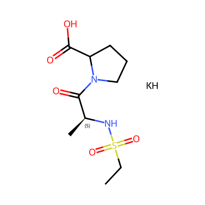 CCS(=O)(=O)N[C@@H](C)C(=O)N1CCCC1C(=O)O.[KH]